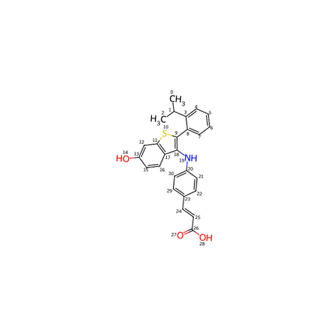 CC(C)c1ccccc1-c1sc2cc(O)ccc2c1Nc1ccc(C=CC(=O)O)cc1